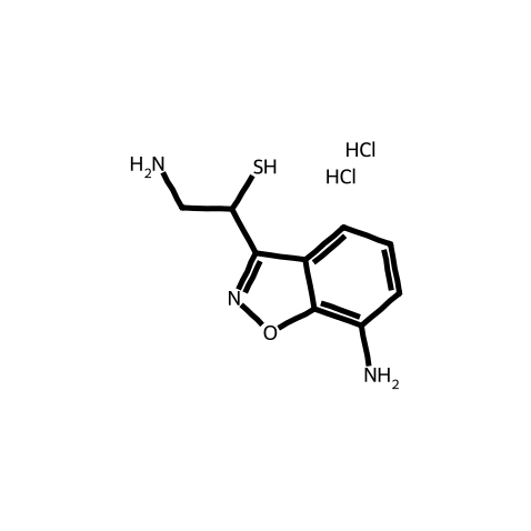 Cl.Cl.NCC(S)c1noc2c(N)cccc12